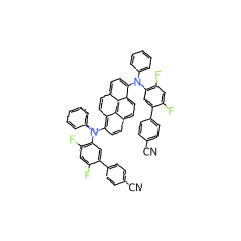 N#Cc1ccc(-c2cc(N(c3ccccc3)c3ccc4ccc5c(N(c6ccccc6)c6cc(-c7ccc(C#N)cc7)c(F)cc6F)ccc6ccc3c4c65)c(F)cc2F)cc1